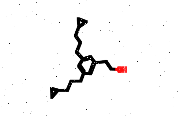 OCCc1cc(CCCC2CC2)cc(CCCC2CC2)c1